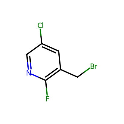 Fc1ncc(Cl)cc1CBr